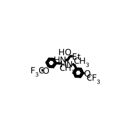 CCC(O)C(NC(C)c1cccc(OC(F)(F)F)c1)NC(C)c1cccc(OC(F)(F)F)c1